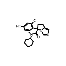 CN(C(=O)C1(c2ccc(C#N)cc2Cl)CCc2cncn21)C1CCCCC1